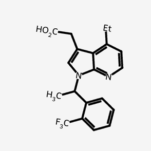 CCc1ccnc2c1c(CC(=O)O)cn2C(C)c1ccccc1C(F)(F)F